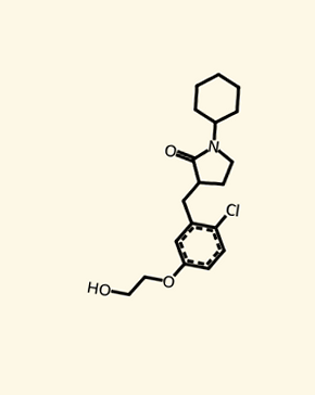 O=C1C(Cc2cc(OCCO)ccc2Cl)CCN1C1CCCCC1